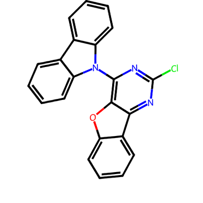 Clc1nc(-n2c3ccccc3c3ccccc32)c2oc3ccccc3c2n1